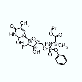 CC1=CN([C@H]2O[C@@H](COP(=O)(N[C@@H](C)C(=O)OC(C)C)Oc3ccccc3)[C@@H](O)C2F)C(O)NC1=O